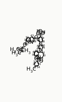 Cc1ccc(S(=O)(=O)N2CCCC(N3CCN(c4ccc(C(=O)OC(C)(C)C)c(Oc5cnc6c(ccn6COCC[Si](C)(C)C)c5)c4)CC3)c3ccccc32)cc1